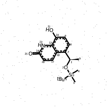 [CH2][C@@H](O[Si](C)(C)C(C)(C)C)c1ccc(O)c2[nH]c(=O)ccc12